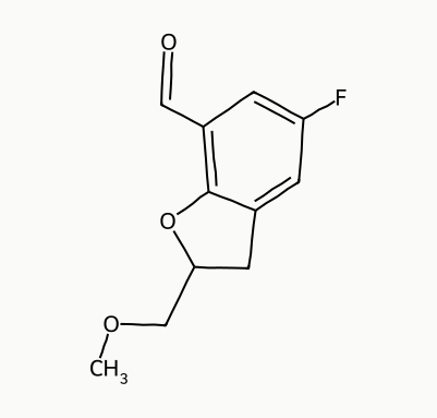 COCC1Cc2cc(F)cc(C=O)c2O1